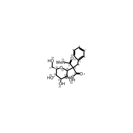 CNC(=O)C(Cc1ccccc1)(C(=O)NC)C1O[C@H](CO)[C@@H](O)[C@H](O)[C@H]1O